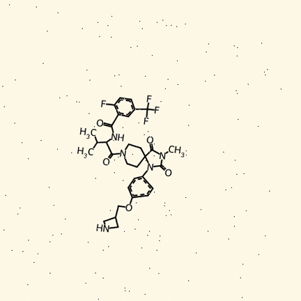 CC(C)C(NC(=O)c1cc(C(F)(F)F)ccc1F)C(=O)N1CCC2(CC1)C(=O)N(C)C(=O)N2c1ccc(OCC2CNC2)cc1